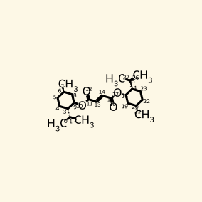 CC(C)[C@@H]1CC[C@@H](C)CC1OC(=O)/C=C/C(=O)O[C@H]1C[C@@H](C)CC[C@@H]1C(C)C